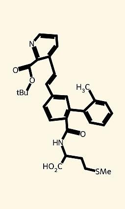 CSCCC(NC(=O)c1ccc(C=Cc2cccnc2C(=O)OC(C)(C)C)cc1-c1ccccc1C)C(=O)O